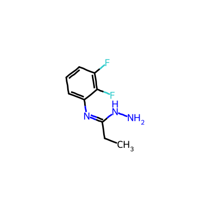 CC/C(=N/c1cccc(F)c1F)NN